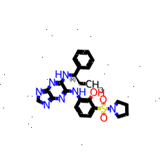 CC[C@@H](Nc1nc2c(nc1Nc1cccc(S(=O)(=O)N3CCCC3)c1O)=NCN=2)c1ccccc1